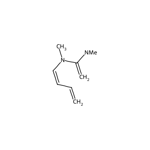 C=C/C=C\N(C)C(=C)NC